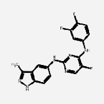 Cc1n[nH]c2ccc(Nc3ncc(F)c(Nc4ccc(F)c(F)c4)n3)cc12